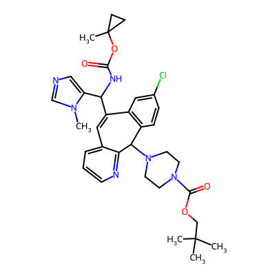 Cn1cncc1C(NC(=O)OC1(C)CC1)C1=Cc2cccnc2C(N2CCN(C(=O)OCC(C)(C)C)CC2)c2ccc(Cl)cc21